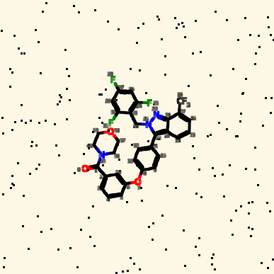 O=C(c1cccc(Oc2ccc(-c3c4cccc(C(F)(F)F)c4nn3Cc3c(F)cc(F)cc3F)cc2)c1)N1CCOCC1